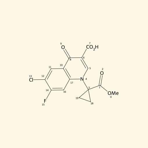 COC(=O)C1(n2cc(C(=O)O)c(=O)c3cc(Cl)c(F)cc32)CC1